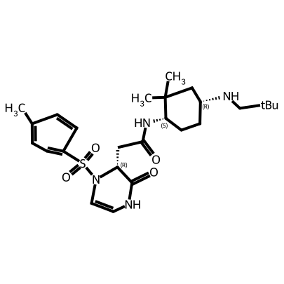 Cc1ccc(S(=O)(=O)N2C=CNC(=O)[C@H]2CC(=O)N[C@H]2CC[C@@H](NCC(C)(C)C)CC2(C)C)cc1